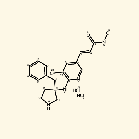 Cl.Cl.O=C(/C=C/c1cnc(N[C@@]2(Cc3ccccc3)CCNC2)c(Cl)c1)NO